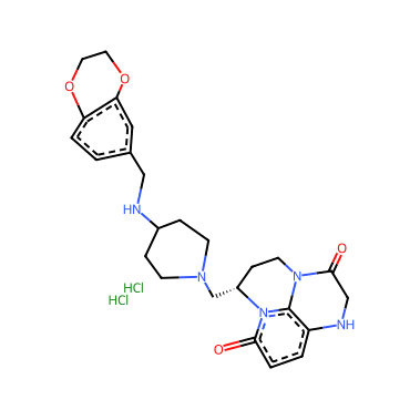 Cl.Cl.O=C1CNc2ccc(=O)n3c2N1CC[C@H]3CN1CCC(NCc2ccc3c(c2)OCCO3)CC1